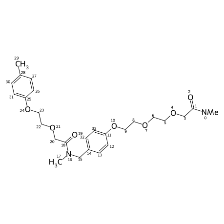 CNC(=O)COCCOCCOc1ccc(CN(C)C(=O)COCCOc2ccc(C)cc2)cc1